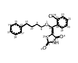 O=C1NC(=O)C(=C(OCCCCc2ccccc2)c2ccccc2Cl)S1